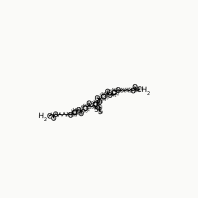 C=CC(=O)OCCCCCCOc1ccc(OC(=O)C2CCC(C(=O)Cc3ccc(OC(=O)C4CCC(C(=O)Oc5ccc(OCCCCCCOC(=O)C=C)cc5)CC4)c4sc(=S)sc34)CC2)cc1